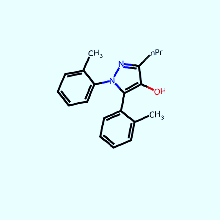 CCCc1nn(-c2ccccc2C)c(-c2ccccc2C)c1O